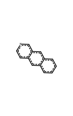 [c]1cncc2cc3ccccc3cc12